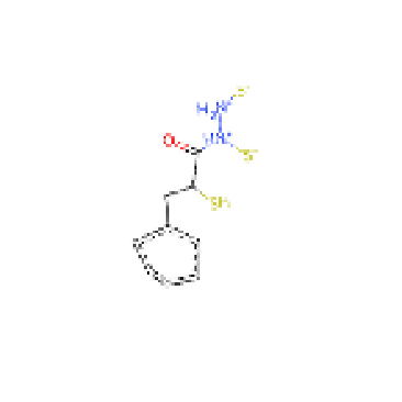 O=C(C(S)Cc1ccccc1)[NH+]([S-])[NH2+][S-]